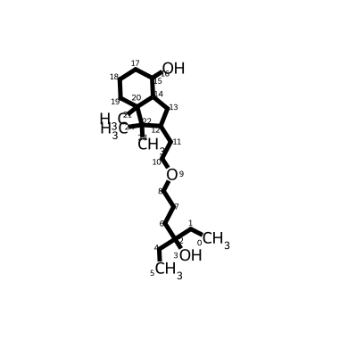 CCC(O)(CC)CCCOCCC1CC2C(O)CCCC2(C)C1(C)C